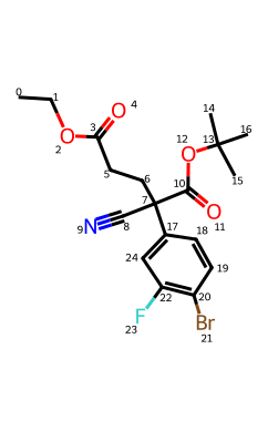 CCOC(=O)CCC(C#N)(C(=O)OC(C)(C)C)c1ccc(Br)c(F)c1